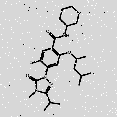 CC(C)CC(C)Oc1cc(-n2nc(C(C)C)n(C)c2=O)c(F)cc1C(=O)NC1CCCCC1